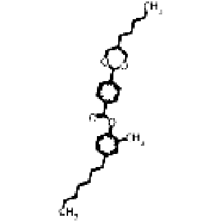 CCCCCCCc1ccc(OC(=O)c2ccc(C3OCC(CCCCC)CO3)cc2)c(C)c1